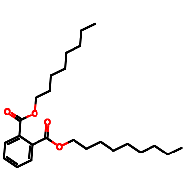 CCCCCCCCCOC(=O)c1ccccc1C(=O)OCCCCCCCC